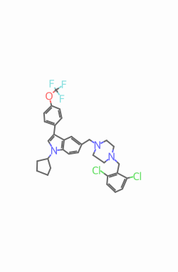 FC(F)(F)Oc1ccc(-c2cn(C3CCCC3)c3ccc(CN4CCN(Cc5c(Cl)cccc5Cl)CC4)cc23)cc1